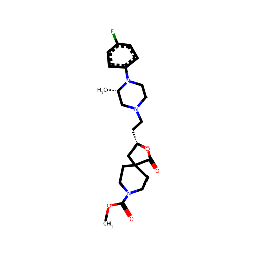 COC(=O)N1CCC2(CC1)C[C@H](CCN1CCN(c3ccc(F)cc3)[C@@H](C)C1)OC2=O